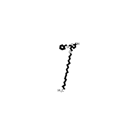 CCCCCCCCCCCCCCCCCCOCCC1(COCc2ccccc2)CCC(O)O1